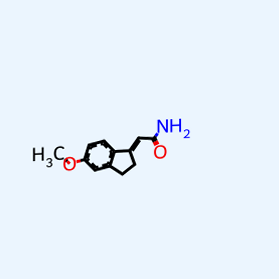 COc1ccc2c(c1)CC/C2=C\C(N)=O